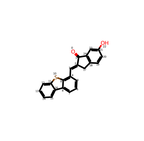 O=C1C(=Cc2cccc3c2sc2ccccc23)Cc2ccc(O)cc21